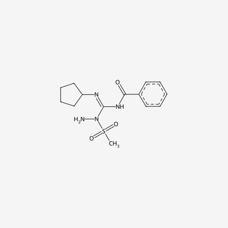 CS(=O)(=O)N(N)C(=NC1CCCC1)NC(=O)c1ccccc1